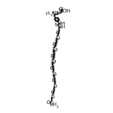 CC(CNCC(=O)O)Cc1ccc(NC(=S)NCCOCCOCCOCCOCCOCCOCCOCCOCCOCCOCCOCCOCCC(N)=O)cc1